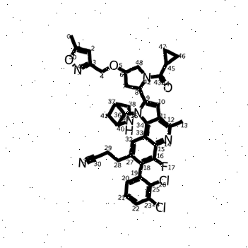 Cc1cc(COC2CC(c3cc4c(C)nc5c(F)c(-c6cccc(Cl)c6Cl)c(CCC#N)cc5c4n3C3C4CNC3C4)N(C(=O)C3CC3)C2)no1